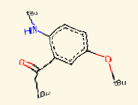 CC(C)(C)Nc1ccc(OC(C)(C)C)cc1C(=O)C(C)(C)C